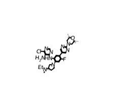 CCN(C)[C@@H]1CCN(c2cc(F)c(-c3cnc(N4C[C@@H](C)O[C@@H](C)C4)nc3)cc2Nc2ncnc(Cl)c2N)C1